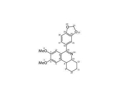 COc1cc2c(cc1OC)C1CCCCC1N=C2c1ccc2c(c1)OCO2